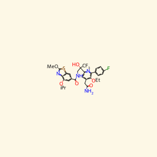 CCOc1c(CC(N)=O)cc([C@@](O)(CNC(=O)c2cc(OC(C)C)c3nc(OC)sc3c2)C(F)(F)F)nc1-c1ccc(F)cc1